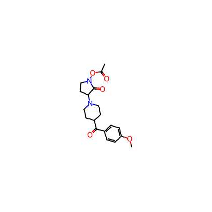 COc1ccc(C(=O)C2CCN(C3CCN(OC(C)=O)C3=O)CC2)cc1